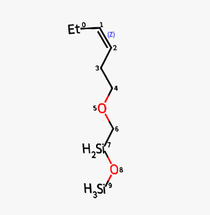 CC/C=C\CCOC[SiH2]O[SiH3]